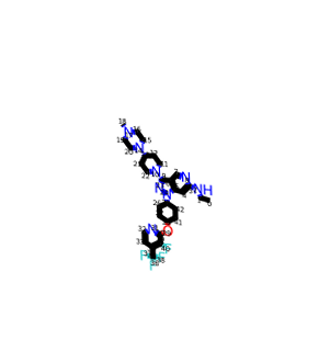 CCNc1cc2c(cn1)c(N1CCC(N3CCN(C)CC3)CC1)nn2C1CCC(Oc2nccc(C(F)(F)F)c2F)CC1